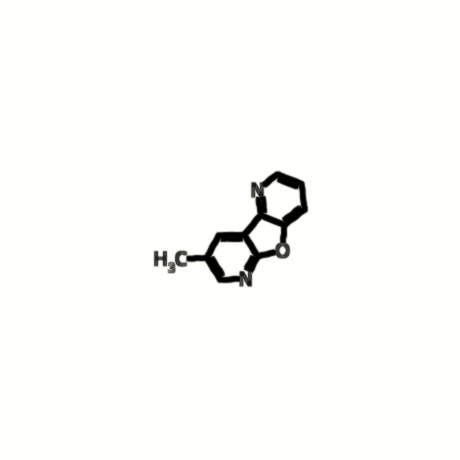 Cc1cnc2oc3cccnc3c2c1